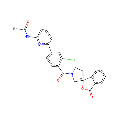 CC(C)C(=O)Nc1cccc(-c2ccc(C(=O)N3CC[C@@]4(C3)OC(=O)c3ccccc34)c(Cl)c2)n1